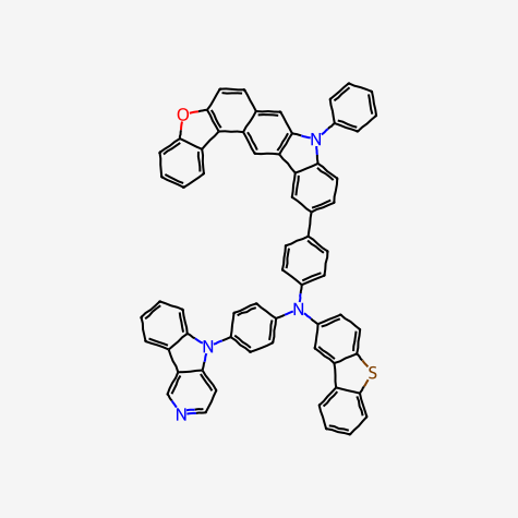 c1ccc(-n2c3ccc(-c4ccc(N(c5ccc(-n6c7ccccc7c7cnccc76)cc5)c5ccc6sc7ccccc7c6c5)cc4)cc3c3cc4c(ccc5oc6ccccc6c54)cc32)cc1